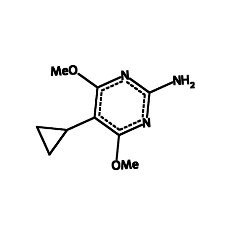 COc1nc(N)nc(OC)c1C1CC1